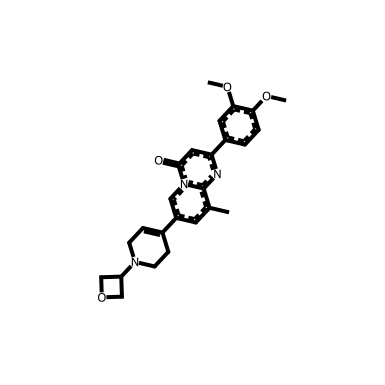 COc1ccc(-c2cc(=O)n3cc(C4=CCN(C5COC5)CC4)cc(C)c3n2)cc1OC